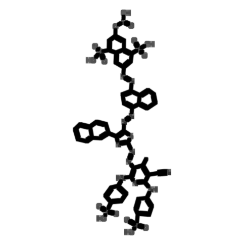 Cc1c(C#N)c(Nc2ccc(S(=O)(=O)O)cc2)nc(Nc2ccc(S(=O)(=O)O)cc2)c1N=Nc1nc(-c2ccc3ccccc3c2)c(N=Nc2ccc(N=Nc3cc(S(=O)(=O)O)c4cc(OS(=O)O)cc(S(=O)(=O)O)c4c3)c3ccccc23)s1